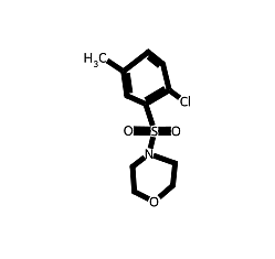 Cc1ccc(Cl)c(S(=O)(=O)N2CCOCC2)c1